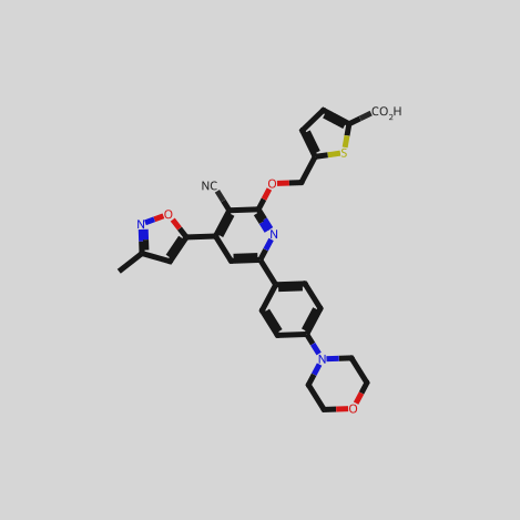 Cc1cc(-c2cc(-c3ccc(N4CCOCC4)cc3)nc(OCc3ccc(C(=O)O)s3)c2C#N)on1